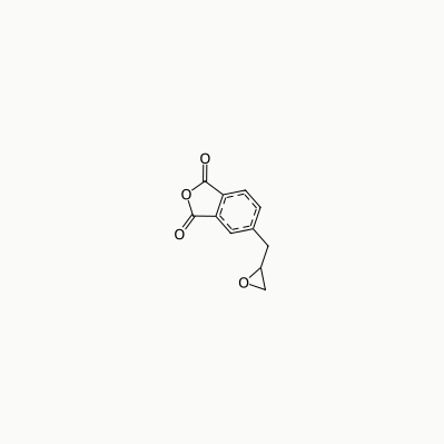 O=C1OC(=O)c2cc(CC3CO3)ccc21